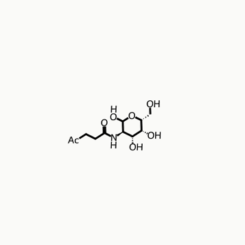 CC(=O)CCC(=O)N[C@H]1C(O)O[C@H](CO)[C@H](O)[C@@H]1O